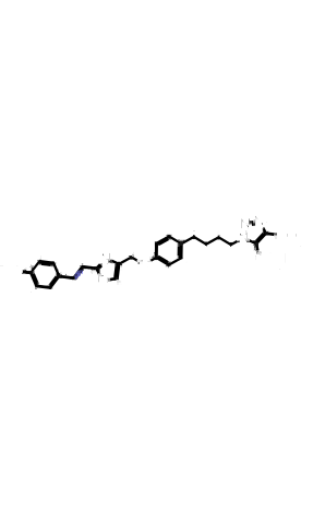 O=C(O)c1nnn(CCCCc2ccc(OCc3coc(/C=C/c4ccc(C(F)(F)F)cc4)n3)cc2)c1C(=O)O